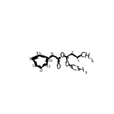 CCCC(OC)OC(=O)Cc1ccccc1